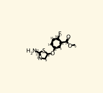 COC(=O)c1cc(OC2CN=C(N)S2)ccc1F